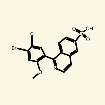 COc1cc(Br)c(Cl)cc1-c1nccc2cc(S(=O)(=O)O)ccc12